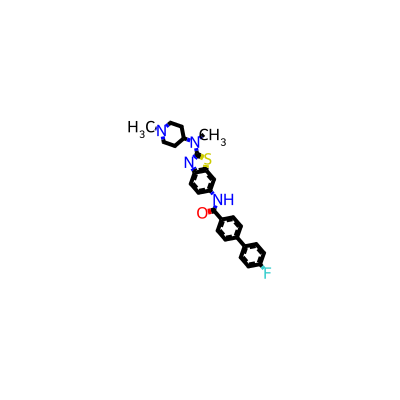 CN1CCC(N(C)c2nc3ccc(NC(=O)c4ccc(-c5ccc(F)cc5)cc4)cc3s2)CC1